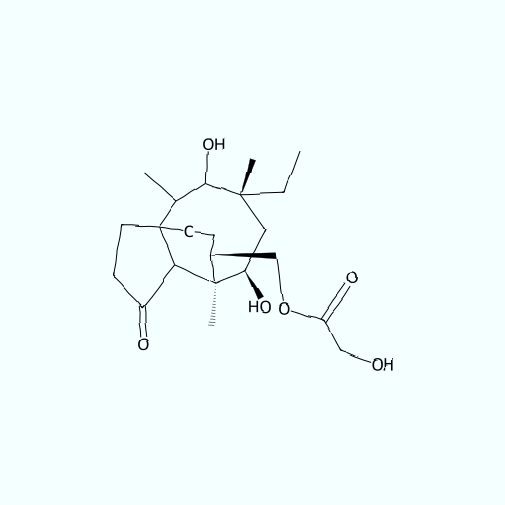 CC[C@]1(C)C[C@@H](O)[C@@]2(C)C3C(=O)CCC3(CC[C@H]2COC(=O)CO)C(C)C1O